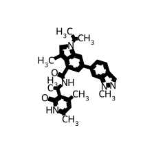 Cc1cc(C)c(C(C)NC(=O)c2cc(-c3ccc4cnn(C)c4c3)cc3c2c(C)cn3C(C)C)c(=O)[nH]1